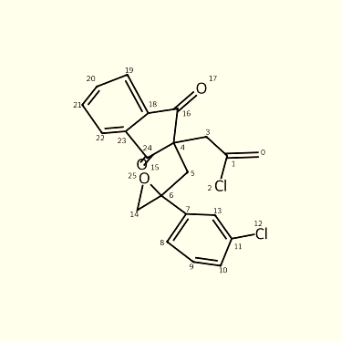 C=C(Cl)CC1(CC2(c3cccc(Cl)c3)CO2)C(=O)c2ccccc2C1=O